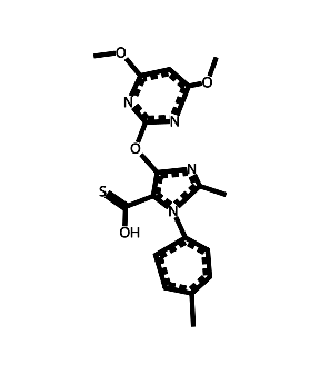 COc1cc(OC)nc(Oc2nc(C)n(-c3ccc(C)cc3)c2C(O)=S)n1